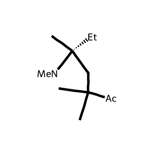 CC[C@](C)(CC(C)(C)C(C)=O)NC